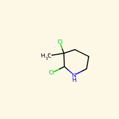 CC1(Cl)CCCNC1Cl